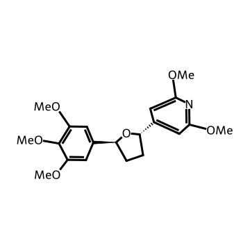 COc1cc([C@@H]2CC[C@@H](c3cc(OC)c(OC)c(OC)c3)O2)cc(OC)n1